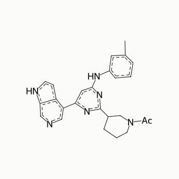 CC(=O)N1CCCC(c2nc(Nc3cccc(C)c3)cc(-c3cncc4[nH]ccc34)n2)C1